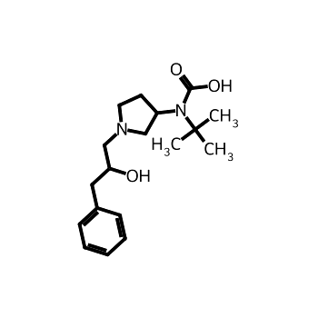 CC(C)(C)N(C(=O)O)C1CCN(CC(O)Cc2ccccc2)C1